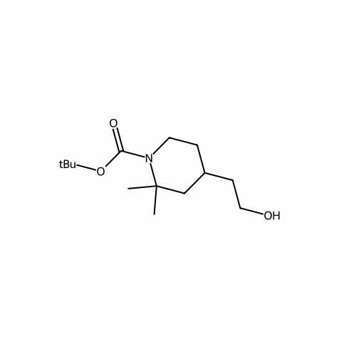 CC(C)(C)OC(=O)N1CCC(CCO)CC1(C)C